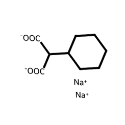 O=C([O-])C(C(=O)[O-])C1CCCCC1.[Na+].[Na+]